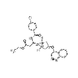 CCOC(=O)CC(NC(=O)c1ccc(Cl)cc1)[C@H]1[C@@H]2C[C@@H](Oc3cnnc4ccccc34)C[C@@H]21